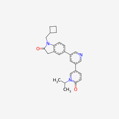 CC(C)n1cc(-c2cncc(-c3ccc4c(c3)CC(=O)N4CC3CCC3)c2)ccc1=O